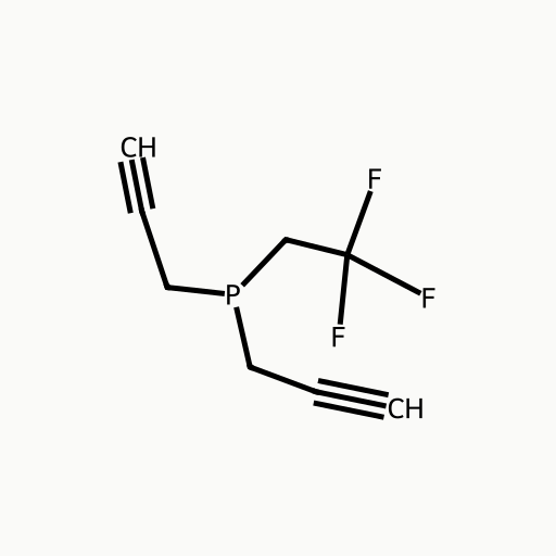 C#CCP(CC#C)CC(F)(F)F